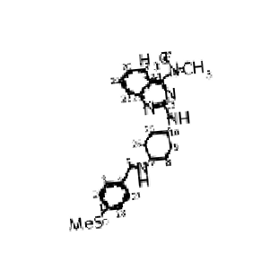 CSc1ccc(CN[C@H]2CC[C@@H](Nc3nc(N(C)C)c4ccccc4n3)CC2)cc1